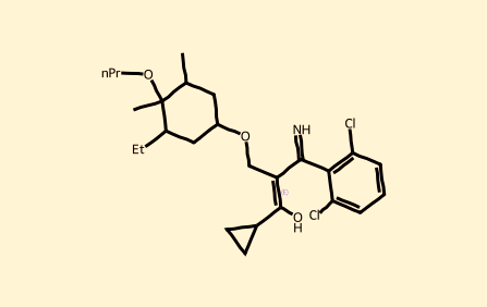 CCCOC1(C)C(C)CC(OC/C(C(=N)c2c(Cl)cccc2Cl)=C(/O)C2CC2)CC1CC